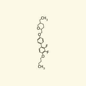 CCCCOc1ccc(-c2ccc(OCC3CCC(CC)CO3)cc2)c(F)c1F